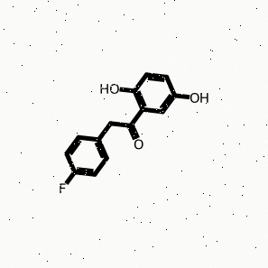 O=C(Cc1ccc(F)cc1)c1cc(O)ccc1O